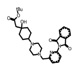 CC(C)(C)OC(=O)CC1(O)CCC(N2CCN(Cc3cccc(N4C(=O)c5ccccc5C4=O)n3)CC2)CC1